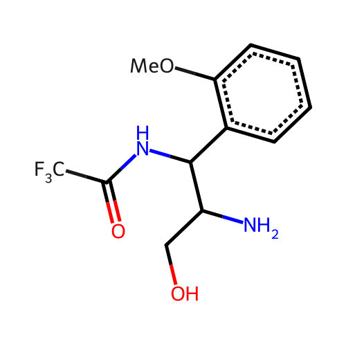 COc1ccccc1C(NC(=O)C(F)(F)F)C(N)CO